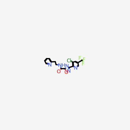 O=C(NCCc1ccccn1)c1nc(-c2ncc(C(F)(F)F)cc2Cl)no1